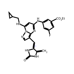 C=c1[nH]c(=O)[nH]/c1=C\c1cnn2c(NCC3CC3)cc(Nc3cc(F)cc(C(=O)OCC)c3)nc12